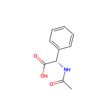 CC(=O)N[C@H](C(=O)O)c1ccccc1